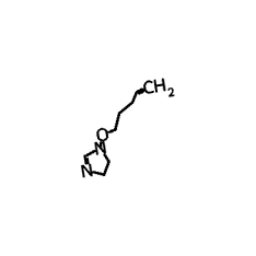 C=CCCCON1C=NCC1